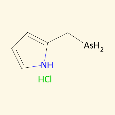 Cl.[AsH2]Cc1ccc[nH]1